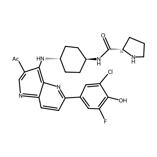 CC(=O)c1cnc2ccc(-c3cc(F)c(O)c(Cl)c3)nc2c1N[C@H]1CC[C@H](NC(=O)[C@@H]2CCCN2)CC1